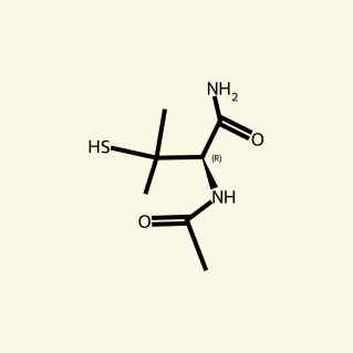 CC(=O)N[C@H](C(N)=O)C(C)(C)S